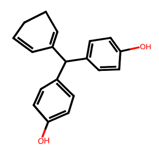 Oc1ccc(C(C2=CCCC=C2)c2ccc(O)cc2)cc1